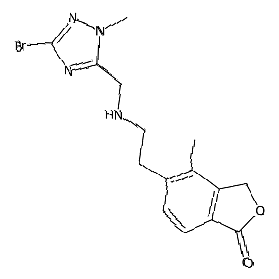 Cc1c(CCNCc2nc(Br)nn2C)ccc2c1COC2=O